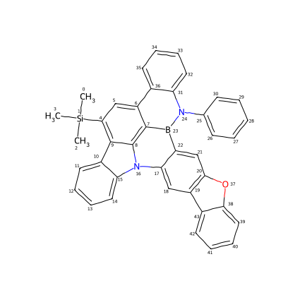 C[Si](C)(C)c1cc2c3c4c1c1ccccc1n4-c1cc4c(cc1B3N(c1ccccc1)c1ccccc1-2)oc1ccccc14